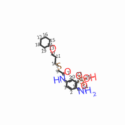 Nc1ccc(NC(=O)CSCCCOC2CCCCC2)cc1S(=O)(=O)O